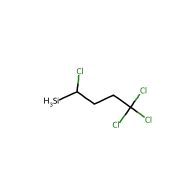 [SiH3]C(Cl)CCC(Cl)(Cl)Cl